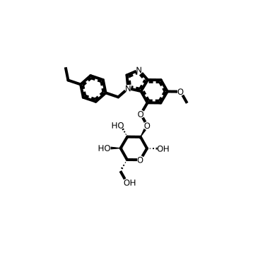 CCc1ccc(Cn2cnc3cc(OC)cc(OO[C@@H]4[C@@H](O)[C@H](O)[C@@H](CO)O[C@H]4O)c32)cc1